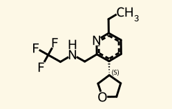 CCc1ccc([C@@H]2CCOC2)c(CNCC(F)(F)F)n1